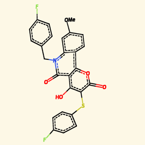 COc1ccc2c3oc(=O)c(Sc4ccc(F)cc4)c(O)c3c(=O)n(Cc3ccc(F)cc3)c2c1